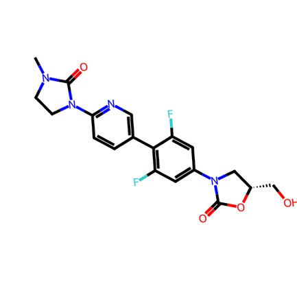 CN1CCN(c2ccc(-c3c(F)cc(N4C[C@H](CO)OC4=O)cc3F)cn2)C1=O